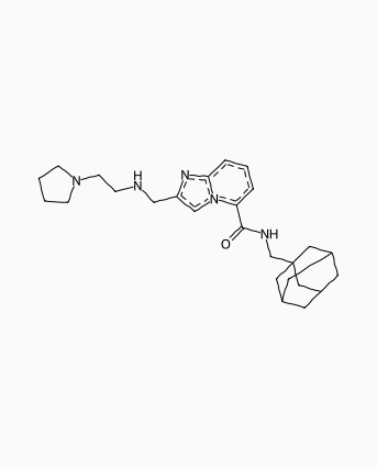 O=C(NCC12CC3CC(CC(C3)C1)C2)c1cccc2nc(CNCCN3CCCC3)cn12